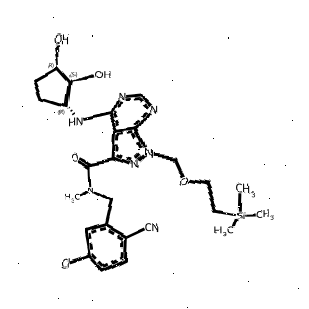 CN(Cc1cc(Cl)ccc1C#N)C(=O)c1nn(COCC[Si](C)(C)C)c2ncnc(N[C@@H]3CC[C@@H](O)[C@H]3O)c12